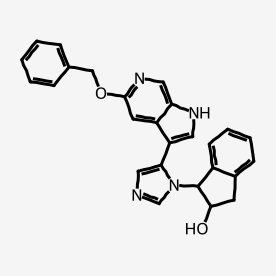 OC1Cc2ccccc2C1n1cncc1-c1c[nH]c2cnc(OCc3ccccc3)cc12